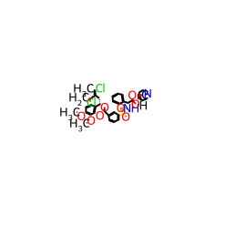 C=C(Cl)/C(C[C@H](OC(=O)c1cccc(S(=O)(=O)NC(C(=O)O[C@H]2CN3CCC2CC3)c2ccccc2)c1)c1ccc(OC)c(OC)c1)=C(\C)Cl